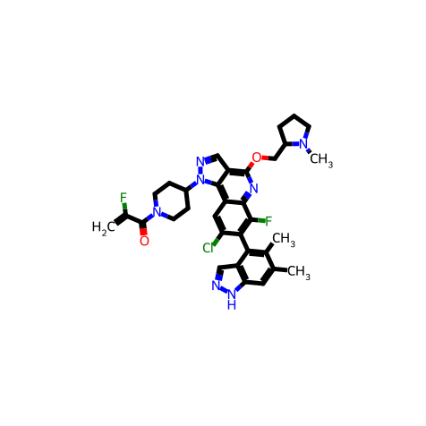 C=C(F)C(=O)N1CCC(n2ncc3c(OCC4CCCN4C)nc4c(F)c(-c5c(C)c(C)cc6[nH]ncc56)c(Cl)cc4c32)CC1